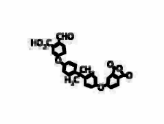 CC(C)(c1ccc(Oc2ccc(C=O)c(C(=O)O)c2)cc1)c1ccc(Oc2ccc3c(c2)C(=O)OC3=O)cc1